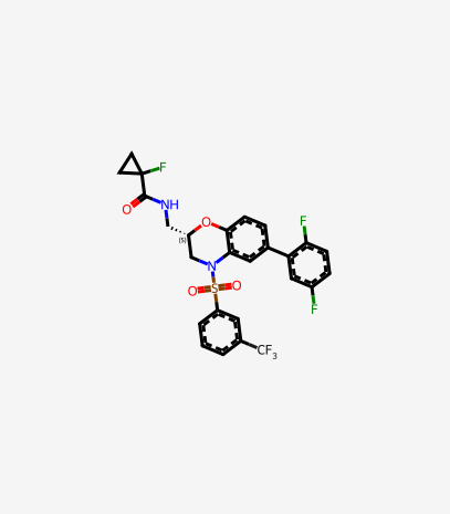 O=C(NC[C@H]1CN(S(=O)(=O)c2cccc(C(F)(F)F)c2)c2cc(-c3cc(F)ccc3F)ccc2O1)C1(F)CC1